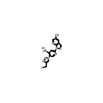 CC(C)Nc1cc(-n2ncc3cc(C#N)cnc32)ncc1-n1cc(CF)nn1